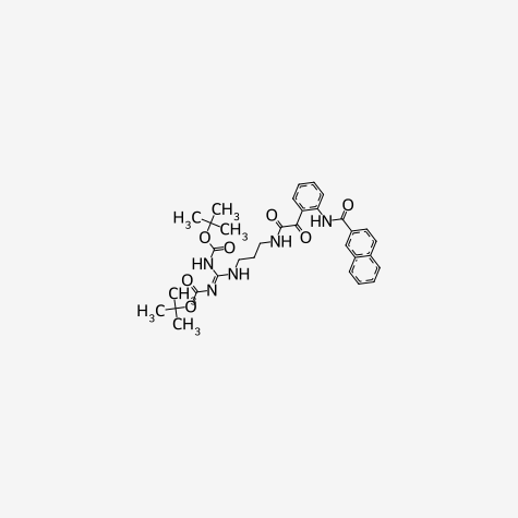 CC(C)(C)OC(=O)/N=C(/NCCCNC(=O)C(=O)c1ccccc1NC(=O)c1ccc2ccccc2c1)NC(=O)OC(C)(C)C